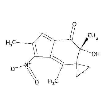 CC1=C([N+](=O)[O-])C2=C(C)C3(CC3)[C@@](C)(O)C(=O)C2=C1